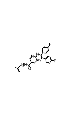 C=C(C)CCNC(=O)c1cnc2nc(-c3ccc(F)cc3)c(-c3ccc(F)cc3)nc2c1